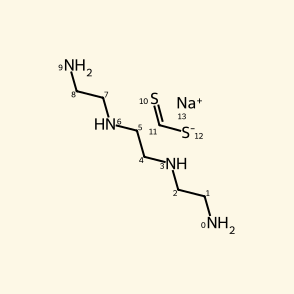 NCCNCCNCCN.S=C[S-].[Na+]